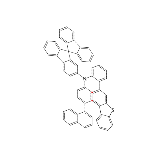 c1ccc(N(c2ccc(-c3cccc4ccccc34)cc2)c2ccc3c(c2)C2(c4ccccc4-c4ccccc42)c2ccccc2-3)c(-c2ccc3c(c2)sc2ccccc23)c1